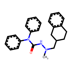 CN(CC1CCc2[c]cccc2C1)NC(=O)N(c1ccccc1)c1ccccc1